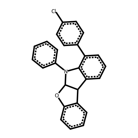 Clc1ccc(-c2cccc3c2N(c2ccccc2)C2Oc4ccccc4C32)cc1